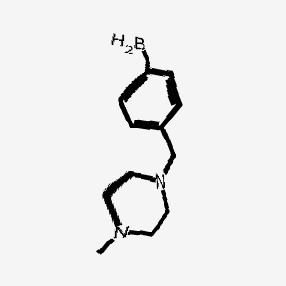 Bc1ccc(CN2CCN(C)CC2)cc1